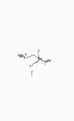 CCC[P+](C)(C)CCC.[I-]